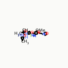 COc1cc2c(Oc3ccc(NC(=O)C4(C(=O)Nc5ccc(C)cc5)[C@H](C)[C@H]4C)cc3F)ncnc2cc1OCCCN1CCOCC1